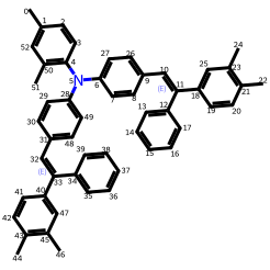 Cc1ccc(N(c2ccc(/C=C(\c3ccccc3)c3ccc(C)c(C)c3)cc2)c2ccc(/C=C(\c3ccccc3)c3ccc(C)c(C)c3)cc2)c(C)c1